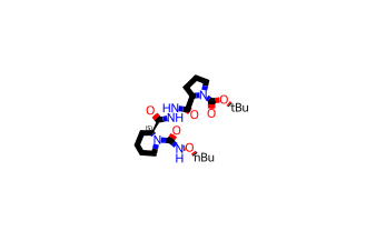 CCCCONC(=O)N1CCCC[C@H]1C(=O)NNC(=O)C1CCCN1C(=O)OC(C)(C)C